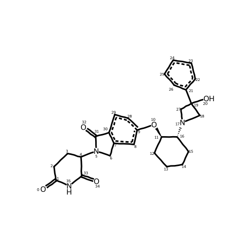 O=C1CCC(N2Cc3cc(O[C@@H]4CCCC[C@H]4N4CC(O)(c5ccccc5)C4)ccc3C2=O)C(=O)N1